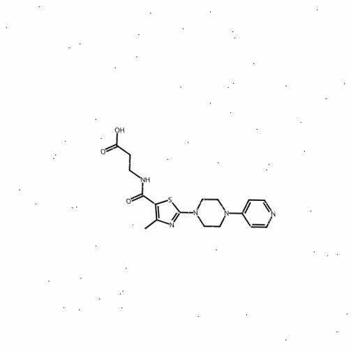 Cc1nc(N2CCN(c3ccncc3)CC2)sc1C(=O)NCCC(=O)O